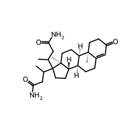 CC(CC(N)=O)C1(C(C)CC(N)=O)CC[C@H]2[C@@H]3CCC4=CC(=O)CC[C@]4(C)[C@@H]3CC[C@@]21C